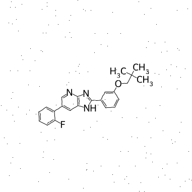 CC(C)(C)COc1cccc(-c2nc3ncc(-c4ccccc4F)cc3[nH]2)c1